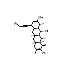 CC(=O)C1=C(C)CC2(C)CC3(C)CC4C(C#CCC(C)C)C=C(C(C)(C)C)C(C)C4C(O)C3C(C)C2(C)C1=O